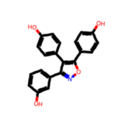 Oc1ccc(-c2onc(-c3cccc(O)c3)c2-c2ccc(O)cc2)cc1